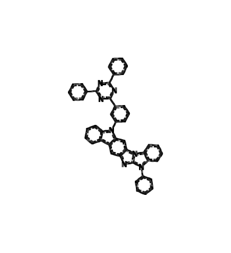 c1ccc(-c2nc(-c3ccccc3)nc(-c3cccc(-n4c5ccccc5c5cc6nc7n(-c8ccccc8)c8ccccc8n7c6cc54)c3)n2)cc1